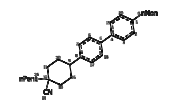 CCCCCCCCCc1ccc(-c2ccc(C3CCC(C#N)(CCCCC)CC3)cc2)cc1